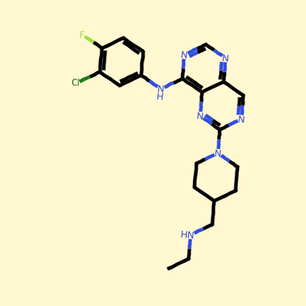 CCNCC1CCN(c2ncc3ncnc(Nc4ccc(F)c(Cl)c4)c3n2)CC1